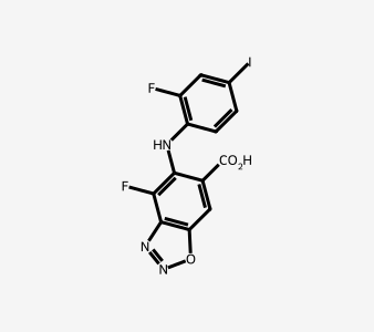 O=C(O)c1cc2onnc2c(F)c1Nc1ccc(I)cc1F